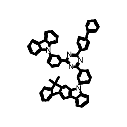 CC1(C)c2ccccc2-c2cc3c4ccccc4n(-c4cccc(-c5nc(-c6ccc(-c7ccccc7)cc6)nc(-c6cccc(-n7c8ccccc8c8ccccc87)c6)n5)c4)c3cc21